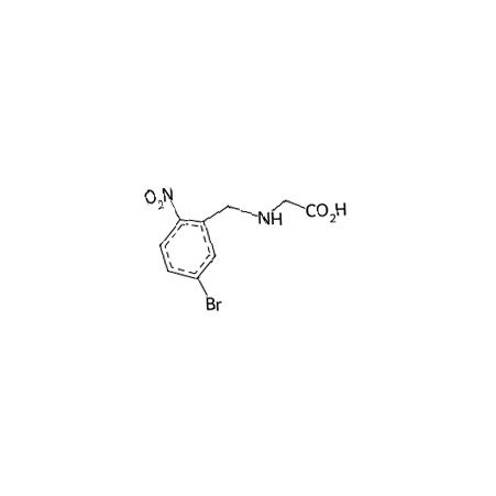 O=C(O)CNCc1cc(Br)ccc1[N+](=O)[O-]